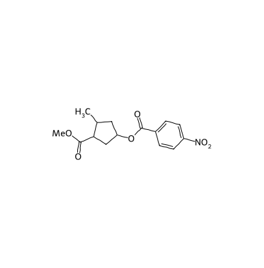 COC(=O)C1CC(OC(=O)c2ccc([N+](=O)[O-])cc2)CC1C